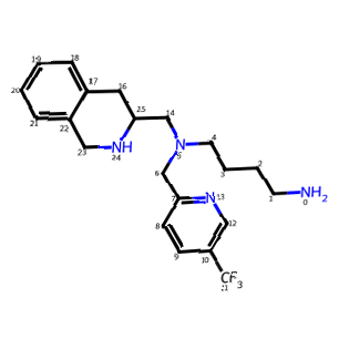 NCCCCN(Cc1ccc(C(F)(F)F)cn1)CC1Cc2ccccc2CN1